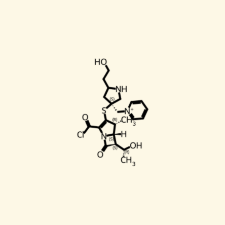 C[C@@H](O)[C@H]1C(=O)N2C(C(=O)Cl)=C(S[C@]3(C[n+]4ccccc4)CNC(CCO)C3)[C@H](C)[C@H]12